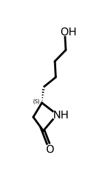 O=C1C[C@H](CCCCO)N1